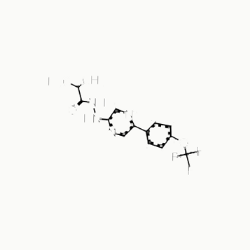 CC(C)C(=O)NNc1cnc(-c2ccc(OC(F)(F)F)cc2)cn1